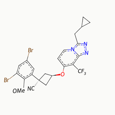 COc1c(Br)cc(Br)cc1[C@]1(C#N)C[C@H](Oc2ccn3c(CC4CC4)nnc3c2C(F)(F)F)C1